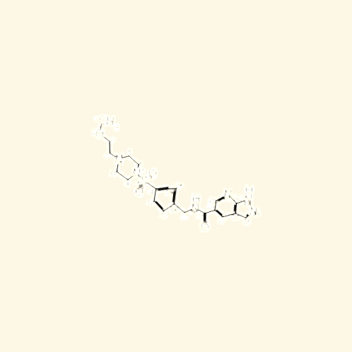 COCCN1CCN(S(=O)(=O)c2ccc(CNC(=O)c3cnc4[nH]ncc4c3)cc2)CC1